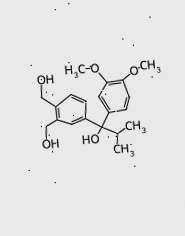 COc1ccc(C(O)(c2ccc(CO)c(CO)c2)C(C)C)cc1OC